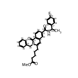 COC(=O)CCCCc1cc2cc(C(=O)NC(C)c3ccc(F)cc3)ccc2c(=O)n1Cc1ccccc1